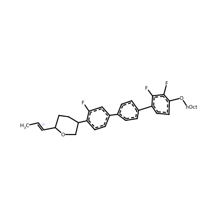 C/C=C/C1CCC(c2ccc(-c3ccc(-c4ccc(OCCCCCCCC)c(F)c4F)cc3)cc2F)CO1